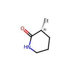 CC[C@@H]1CCCNC1=O